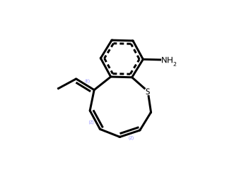 C\C=C1/C=C\C=C/CSc2c(N)cccc21